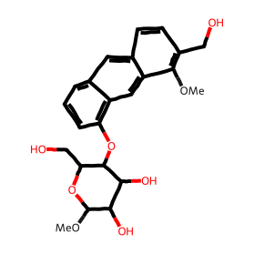 COc1c(CO)ccc2cc3cccc(OC4C(CO)OC(OC)C(O)C4O)c3cc12